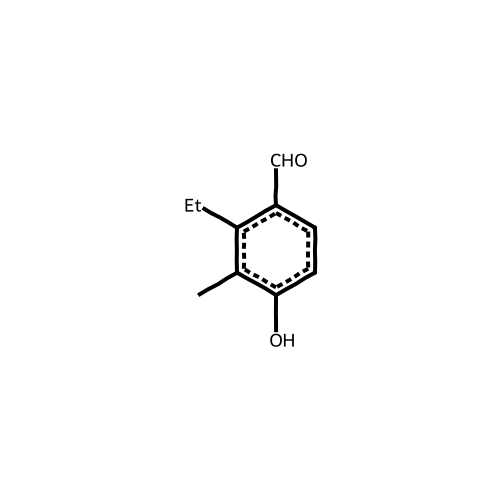 CCc1c(C=O)ccc(O)c1C